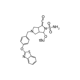 CC(C)(C)OC1C2CN(Cc3ccc(Oc4nc5ccccc5s4)cc3)CC2C(=C=O)N1S(N)(=O)=O